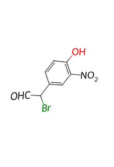 O=CC(Br)c1ccc(O)c([N+](=O)[O-])c1